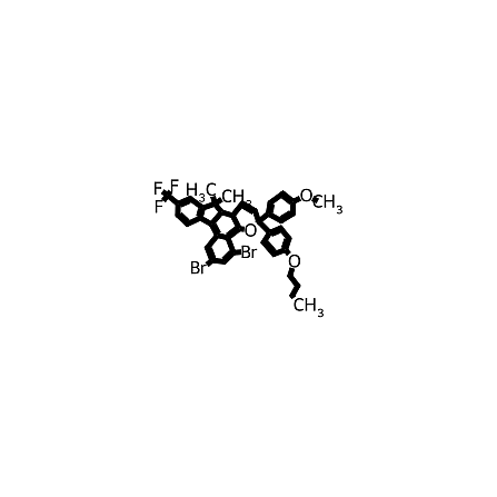 CCCCOc1ccc(C2(c3ccc(OC)cc3)C=CC3C(=c4c(Br)cc(Br)cc4=C4c5ccc(C(F)(F)F)cc5C(C)(C)C43)O2)cc1